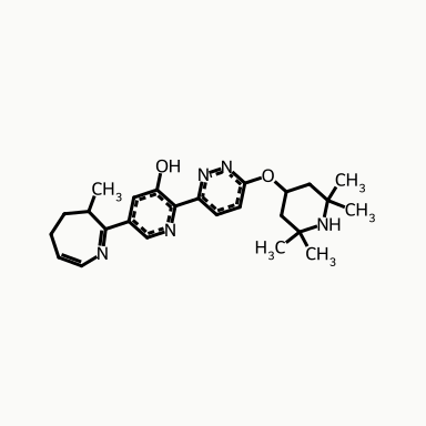 CC1CCC=CN=C1c1cnc(-c2ccc(OC3CC(C)(C)NC(C)(C)C3)nn2)c(O)c1